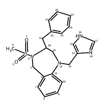 CS(=O)(=O)N1Cc2ccccc2N(Cc2c[nH]cn2)CC1Cc1ccccc1